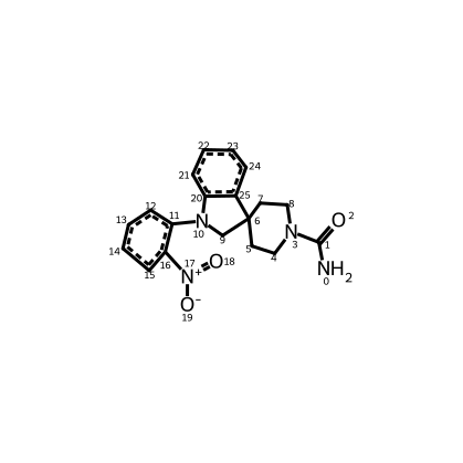 NC(=O)N1CCC2(CC1)CN(c1ccccc1[N+](=O)[O-])c1ccccc12